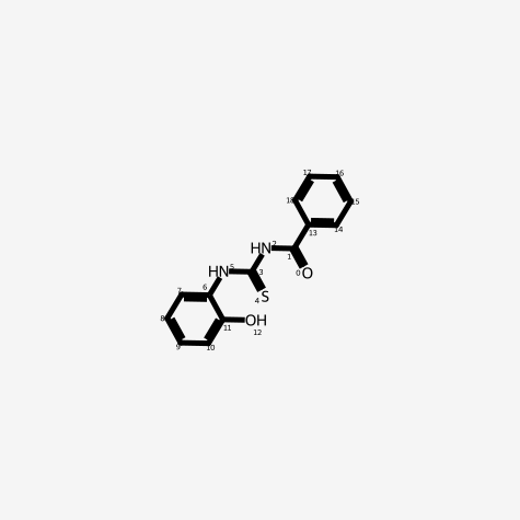 O=C(NC(=S)Nc1ccccc1O)c1ccccc1